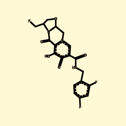 O=C(NCc1ccc(F)cc1F)c1cn2c(c(O)c1=O)C(=O)N1C(CF)COC1C2